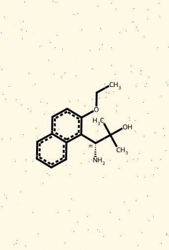 CCOc1ccc2ccccc2c1[C@@H](N)C(C)(C)O